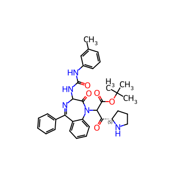 Cc1cccc(NC(=O)NC2N=C(c3ccccc3)c3ccccc3N(C(C(=O)OC(C)(C)C)C(=O)[C@@H]3CCCN3)C2=O)c1